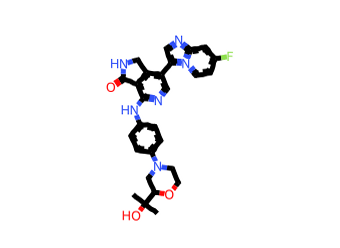 CC(C)(O)C1CN(c2ccc(Nc3ncc(-c4cnc5cc(F)ccn45)c4c3C(=O)NC4)cc2)CCO1